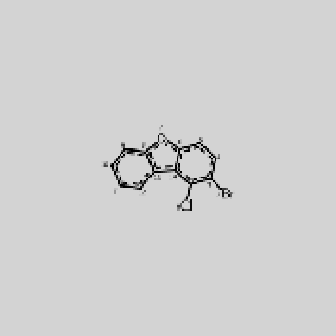 Clc1c(Br)ccc2oc3ccccc3c12